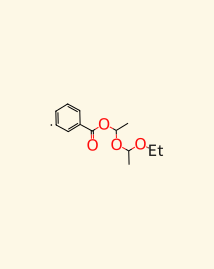 CCOC(C)OC(C)OC(=O)c1c[c]ccc1